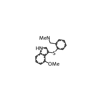 CNCc1ccccc1Sc1c[nH]c2cccc(OC)c12